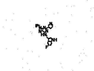 CC(C)N1C=NC2C1=NC(c1cccnc1)=NC2NCCc1c[nH]c2ccc(F)cc12